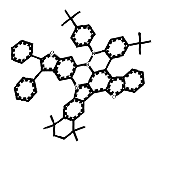 CC(C)(C)c1ccc(N2B3c4cc5oc(-c6ccccc6)c(-c6ccccc6)c5cc4-n4c5cc6c(cc5c5c7oc8ccccc8c7c(c3c54)-c3cc(C(C)(C)C)ccc32)C(C)(C)CCC6(C)C)cc1